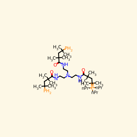 CCC[PH](CCC)(CCC)C(C)(C)CC(C)(C)C(=O)NCCN(CCNC(=O)C(C)(C)CC(C)(C)P)CCNC(=O)C(C)(C)CC(C)(C)P